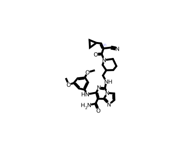 COc1cc(Nc2nc(NCC3CCCN(C(=O)/C(C#N)=C\C4CC4)C3)n3ccnc3c2C(N)=O)cc(OC)c1